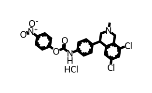 CN1Cc2c(Cl)cc(Cl)cc2C(c2ccc(NC(=O)Oc3ccc([N+](=O)[O-])cc3)cc2)C1.Cl